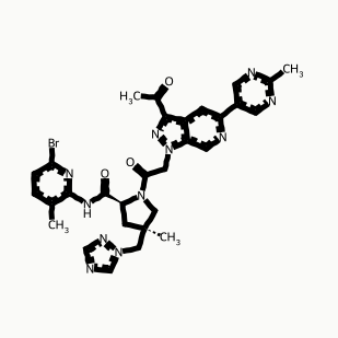 CC(=O)c1nn(CC(=O)N2C[C@@](C)(Cn3cncn3)C[C@H]2C(=O)Nc2nc(Br)ccc2C)c2cnc(-c3cnc(C)nc3)cc12